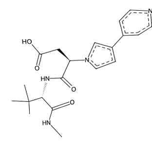 CNC(=O)[C@@H](NC(=O)[C@@H](CC(=O)O)n1ccc(-c2ccncc2)c1)C(C)(C)C